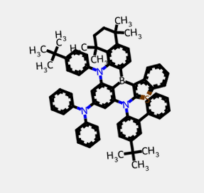 CC(C)(C)c1ccc(N2c3cc(N(c4ccccc4)c4ccccc4)cc4c3B(c3ccc5c(c32)C(C)(C)CCC5(C)C)c2c(sc3ccccc23)N4c2ccc(C(C)(C)C)cc2-c2ccccc2)cc1